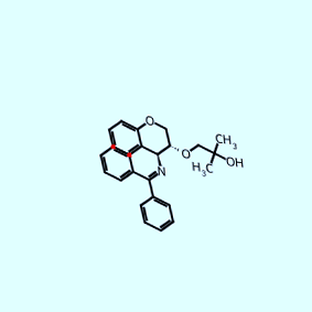 CC(C)(O)CO[C@H]1COc2ccccc2[C@@H]1N=C(c1ccccc1)c1ccccc1